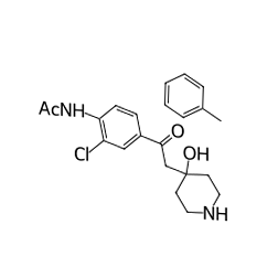 CC(=O)Nc1ccc(C(=O)CC2(O)CCNCC2)cc1Cl.Cc1ccccc1